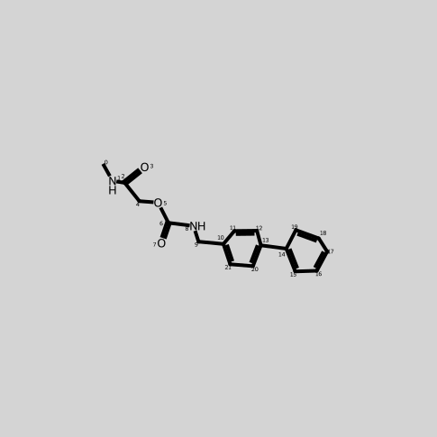 CNC(=O)COC(=O)NCc1ccc(-c2ccccc2)cc1